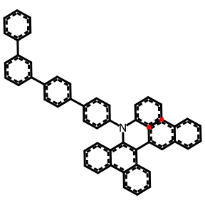 c1ccc(-c2cccc(-c3ccc(-c4ccc(N(c5ccccc5)c5c(-c6ccc7ccccc7c6)c6ccccc6c6ccccc56)cc4)cc3)c2)cc1